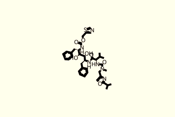 CC(C)c1nc(CN(C)C(=O)N[C@H](C(=O)N[C@@H](Cc2ccccc2)[C@@H](O)[C@@H](O)[C@H](Cc2ccccc2)NC(=O)OCc2cncs2)C(C)C)co1